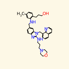 Cc1ccc(CCCO)c(NCc2ccc3nc(NCCCN4CCOCC4)n(Cc4cccc5cccnc45)c3c2)c1